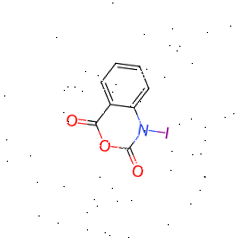 O=c1oc(=O)n(I)c2ccccc12